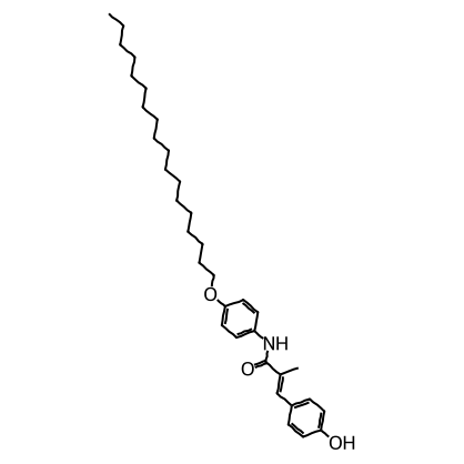 CCCCCCCCCCCCCCCCCCOc1ccc(NC(=O)/C(C)=C/c2ccc(O)cc2)cc1